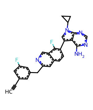 C#Cc1cc(F)cc(Cc2cc3ccc(-c4cn(C5CC5)c5ncnc(N)c45)c(F)c3cn2)c1